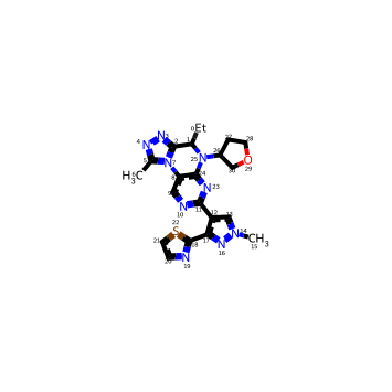 CCC1c2nnc(C)n2-c2cnc(-c3cn(C)nc3-c3nccs3)nc2N1C1CCOC1